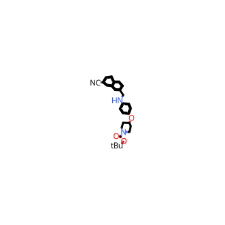 CC(C)(C)OC(=O)N1CCC(Oc2ccc(NCc3ccc4ccc(C#N)cc4c3)cc2)CC1